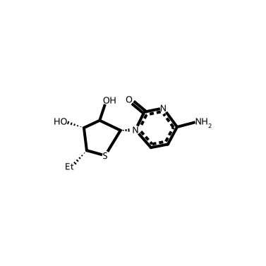 CC[C@H]1S[C@@H](n2ccc(N)nc2=O)C(O)[C@H]1O